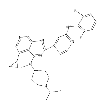 CC(C)N1CCC(N(C)c2nc(-c3ccnc(Nc4c(F)cccc4F)c3)nc3cncc(C4CC4)c23)CC1